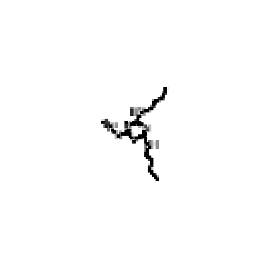 CCCCNc1nc(N=[N+]=[N-])nc(NCCCC)n1